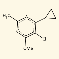 COc1nc(C)nc(C2CC2)c1Cl